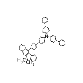 CC1(C)c2ccccc2-c2c1cc1ccccc1c2C1=CC=C(c2ccc(N(c3ccc(-c4ccccc4)cc3)c3ccc(-c4ccccc4)cc3)cc2)CC1